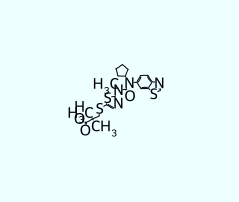 CN(C(=O)N(c1ccc2ncsc2c1)C1CCCC1)c1ncc(SCC(C)(C)C(=O)O)s1